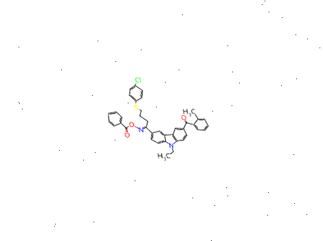 CCn1c2ccc(C(=O)c3ccccc3C)cc2c2cc(/C(CCCSc3ccc(Cl)cc3)=N/OC(=O)c3ccccc3)ccc21